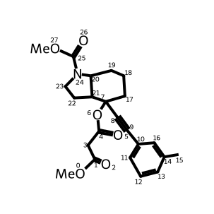 COC(=O)CC(=O)OC1(C#Cc2cccc(C)c2)CCCC2C1CCN2C(=O)OC